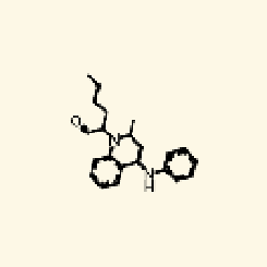 CCCCC(C=O)N1c2ccccc2C(Nc2ccccc2)CC1C